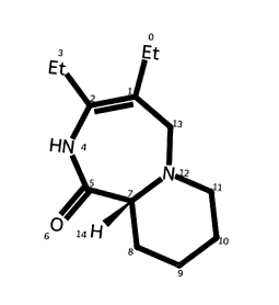 CCC1=C(CC)NC(=O)[C@H]2CCCCN2C1